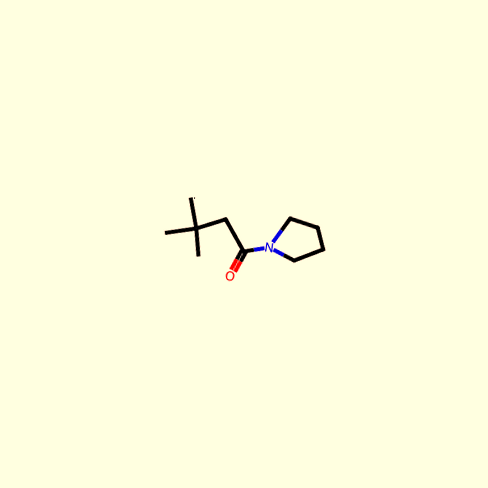 [CH2]C(C)(C)CC(=O)N1CCCC1